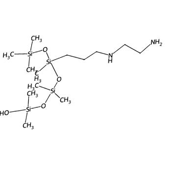 C[Si](C)(C)O[Si](C)(CCCNCCN)O[Si](C)(C)O[Si](C)(C)O